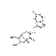 CC[C@@]1(C=C(OC)C(=O)OC)CCCN(CCc2c[nH]c3ccc(F)cc23)C1=O